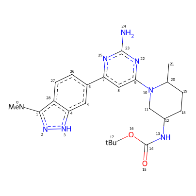 CNc1n[nH]c2cc(-c3cc(N4CC(NC(=O)OC(C)(C)C)CCC4C)nc(N)n3)ccc12